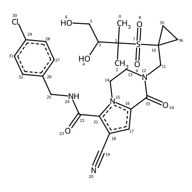 CC(C)(C(O)CO)S(=O)(=O)C1(CN2CCn3c(cc(C#N)c3C(=O)NCc3ccc(Cl)cc3)C2=O)CC1